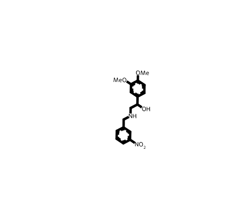 COc1ccc(C(O)CNCc2cccc([N+](=O)[O-])c2)cc1OC